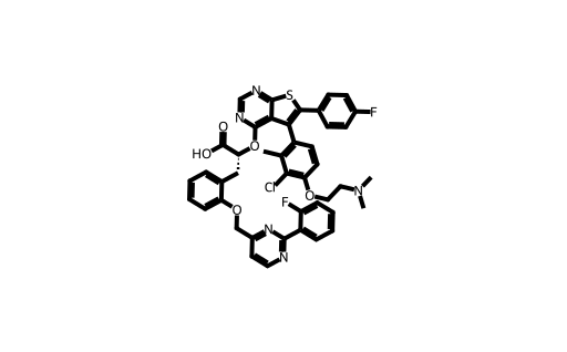 Cc1c(-c2c(-c3ccc(F)cc3)sc3ncnc(O[C@H](Cc4ccccc4OCc4ccnc(-c5ccccc5F)n4)C(=O)O)c23)ccc(OCCN(C)C)c1Cl